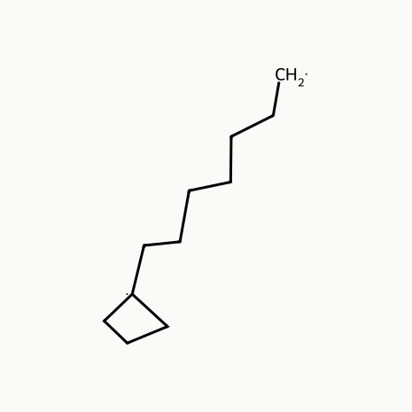 [CH2]CCCCCC[C]1CCC1